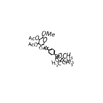 COC1O[C@H](COc2ccc(B3OC(C)(C)C(C)(C)O3)cc2)C(OC(C)=O)C(OC(C)=O)C1OC(C)=O